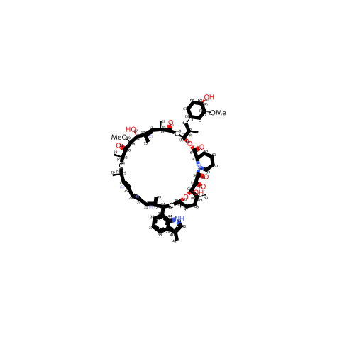 CO[C@@H]1C[C@H](C[C@@H](C)[C@@H]2CC(=O)[C@H](C)/C=C(\C)[C@@H](O)[C@@H](OC)C(=O)[C@H](C)C[C@H](C)/C=C/C=C/C=C(\C)C(c3cccc4c(C)c[nH]c34)C[C@@H]3CC[C@@H](C)[C@@](O)(O3)C(=O)C(=O)N3CCCCC3C(=O)O2)CC[C@H]1O